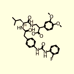 COc1ccc(C(CNC(=O)[C@H](CC(C)C)NC(=O)Cc2ccc(NC(=O)Nc3ccccc3F)cc2)C(=O)O)cc1OC